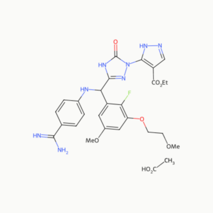 CC(=O)O.CCOC(=O)c1cn[nH]c1-n1nc(C(Nc2ccc(C(=N)N)cc2)c2cc(OC)cc(OCCOC)c2F)[nH]c1=O